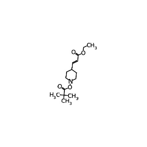 CCOC(=O)/C=C/C1CCN(OC(=O)C(C)(C)C)CC1